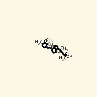 C=C1CC/C(=C/C=C2\CCC[C@]3(C)C([C@H](C)CCCC(C)(C)O)CC[C@@H]23)C(=C)[C@H]1OC